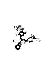 C[C@@H](N[C@@H](CC(=O)N1CCn2c(nnc2C(F)(F)F)C1)Cc1cc(F)c(F)cc1F)c1ccccc1.O=P(O)(O)O